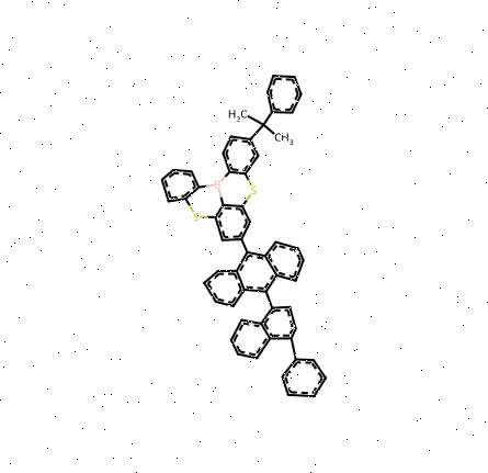 CC(C)(c1ccccc1)c1ccc2c(c1)Sc1cc(-c3c4ccccc4c(-c4ccc(-c5ccccc5)c5ccccc45)c4ccccc34)cc3c1B2c1ccccc1S3